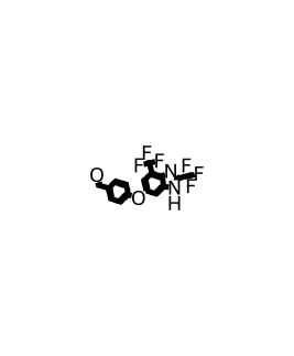 O=Cc1ccc(Oc2cc(C(F)(F)F)c3nc(C(F)(F)F)[nH]c3c2)cc1